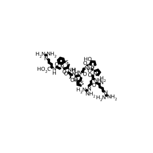 NC(N)=NCCCC(NC(=O)CN1C(=O)[C@H](NC(=O)[C@H](CO)NC(=O)[C@H](Cc2cccs2)NC(=O)CNC(=O)[C@@H]2[C@H](O)CCN2C(=O)[C@@H]2CCCN2C(=O)[C@H](CCCN=C(N)N)NC(=O)[C@H](N)CCCN=C(N)N)CSc2ccccc21)C(=O)O